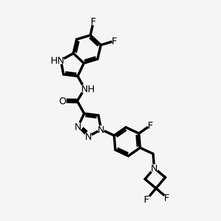 O=C(Nc1c[nH]c2cc(F)c(F)cc12)c1cn(-c2ccc(CN3CC(F)(F)C3)c(F)c2)nn1